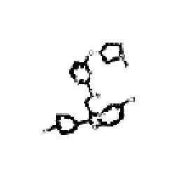 CN1CC[C@@H](Oc2ccnc(NCc3c(-c4ccc(F)cc4)nc4ccc(Cl)cn34)n2)C1